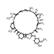 CO[C@H]1C[C@@H]2CC[C@@H](C)[C@@](O)(O2)C(=O)C(=O)C2CCCC[C@H]2C(=O)O[C@H]([C@H](C)C[C@@H]2CC[C@@H](O)[C@H](OC)C2)CC(=O)[C@H](C)/C=C(\C)[C@@H](O)[C@@H](OC)C(=O)[C@H](C)C[C@H](C)/C=C/C=C/C=C/1C